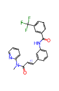 CN(C(=O)/C=C/c1cccc(NC(=O)c2cccc(C(F)(F)F)c2)c1)c1ccccn1